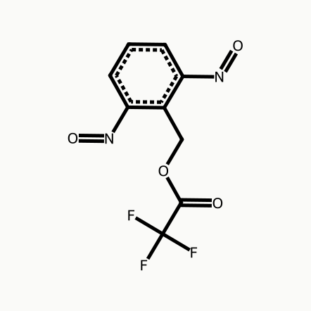 O=Nc1cccc(N=O)c1COC(=O)C(F)(F)F